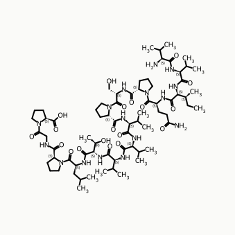 CC[C@H](C)[C@H](NC(=O)[C@@H](NC(=O)[C@@H](N)C(C)C)C(C)C)C(=O)N[C@@H](CCC(N)=O)C(=O)N1CCC[C@H]1C(=O)N[C@@H](CO)C(=O)N1CCC[C@H]1C(=O)N[C@H](C(=O)N[C@H](C(=O)N[C@H](C(=O)N[C@H](C(=O)N[C@@H](CC(C)C)C(=O)N1CCC[C@H]1C(=O)NCC(=O)N1CCC[C@H]1C(=O)O)[C@@H](C)O)C(C)C)C(C)C)C(C)C